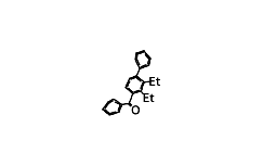 CCc1c(C(=O)c2ccccc2)ccc(-c2ccccc2)c1CC